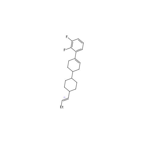 CC/C=C/C1CCC(C2CC=C(c3cccc(F)c3F)CC2)CC1